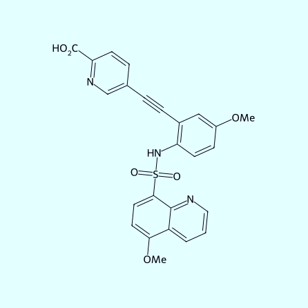 COc1ccc(NS(=O)(=O)c2ccc(OC)c3cccnc23)c(C#Cc2ccc(C(=O)O)nc2)c1